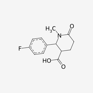 CN1C(=O)CCC(C(=O)O)C1c1ccc(F)cc1